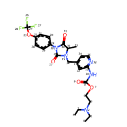 CCN(CC)CCOC(=O)Nc1cc(CN2C(=O)N(c3ccc(OC(F)(F)F)cc3)C(=O)C2C)ccn1